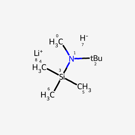 CN(C(C)(C)C)[Si](C)(C)C.[H-].[Li+]